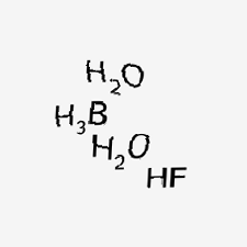 B.F.O.O